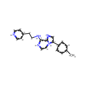 Cc1ccc(-c2cnc3c(NCCc4ccncc4)nccn23)cc1